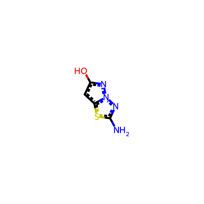 Nc1nn2nc(O)cc2s1